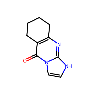 O=c1c2c(nc3[nH]ccn13)CCCC2